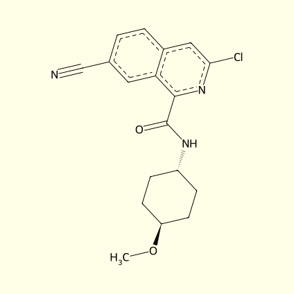 CO[C@H]1CC[C@H](NC(=O)c2nc(Cl)cc3ccc(C#N)cc23)CC1